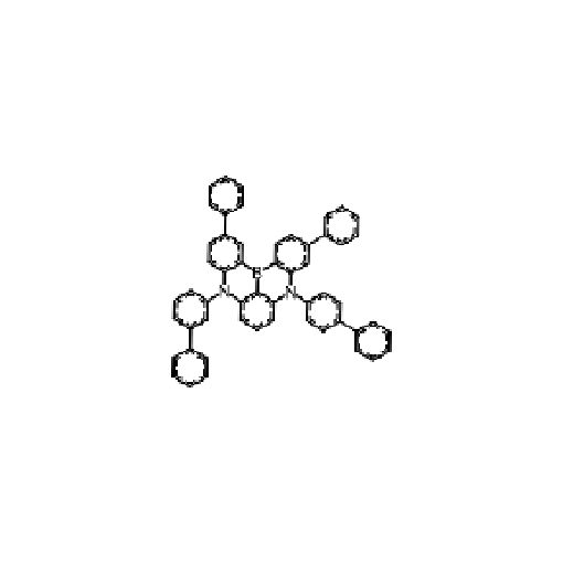 c1ccc(-c2ccc(N3c4cc(-c5ccccc5)ccc4B4c5cc(-c6ccccc6)ccc5N(c5cccc(-c6ccccc6)c5)c5cccc3c54)cc2)cc1